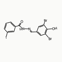 O=C(NN=Cc1cc(Br)c(O)c(Br)c1)c1cccc(I)c1